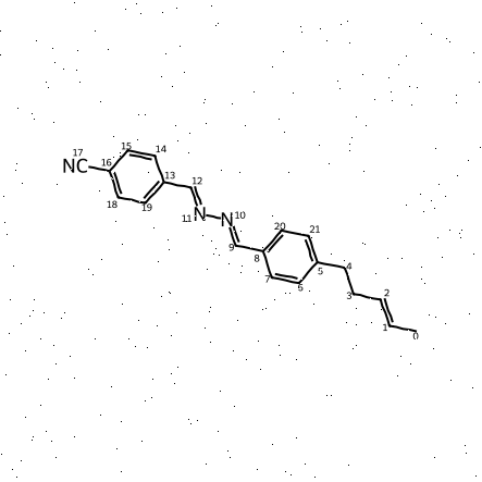 C/C=C/CCc1ccc(/C=N/N=C/c2ccc(C#N)cc2)cc1